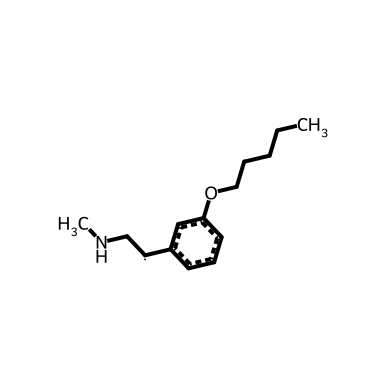 CCCCCOc1cccc([CH]CNC)c1